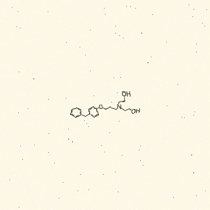 OCCN(CCO)CCCOc1ccc(Cc2ccccc2)cc1